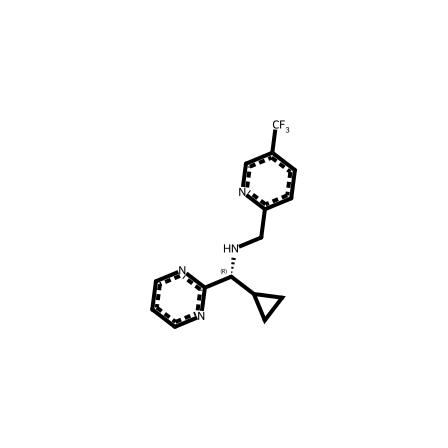 FC(F)(F)c1ccc(CN[C@@H](c2ncccn2)C2CC2)nc1